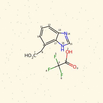 O=C(O)C(F)(F)F.O=C(O)Cc1cccc2nc[nH]c12